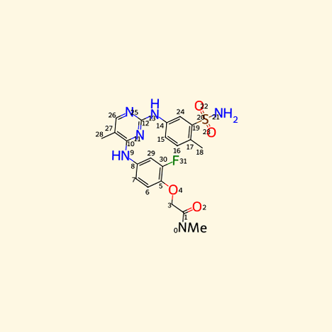 CNC(=O)COc1ccc(Nc2nc(Nc3ccc(C)c(S(N)(=O)=O)c3)ncc2C)cc1F